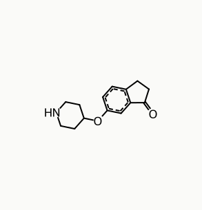 O=C1CCc2ccc(OC3CCNCC3)cc21